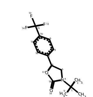 CC(C)(C)N1CC(c2ccc(C(F)(F)F)cc2)OC1=O